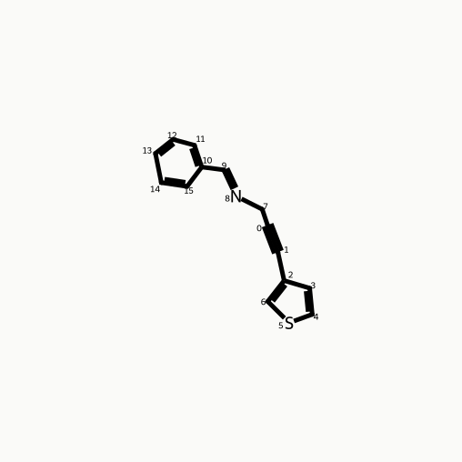 C(#Cc1ccsc1)CN=Cc1ccccc1